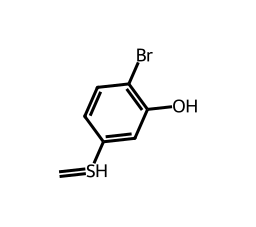 C=[SH]c1ccc(Br)c(O)c1